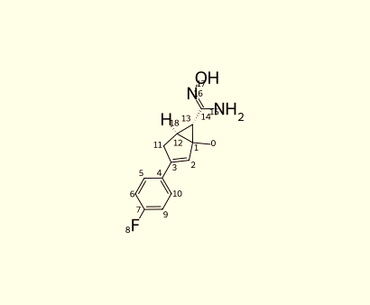 CC12C=C(c3ccc(F)cc3)C[C@H]1[C@@H]2/C(N)=N/O